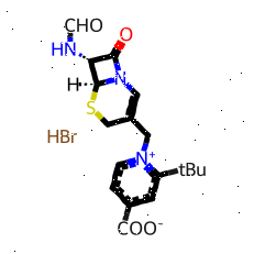 Br.CC(C)(C)c1cc(C(=O)[O-])cc[n+]1CC1=CN2C(=O)[C@@H](NC=O)[C@@H]2SC1